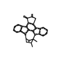 CC1CC2OC1(C)n1c3ccccc3c3c4c(c5c6ccccc6n2c5c31)C(=O)NC4